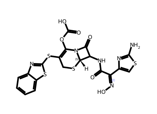 Nc1nc(/C(=N/O)C(=O)NC2C(=O)N3C(OC(=O)O)=C(Sc4nc5ccccc5s4)CS[C@@H]23)cs1